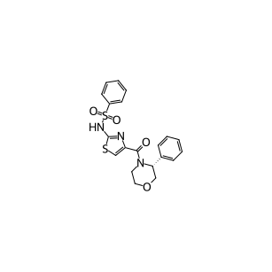 O=C(c1csc(NS(=O)(=O)c2ccccc2)n1)N1CCOC[C@H]1c1ccccc1